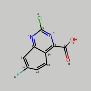 O=C(O)c1nc(Cl)nc2cc(F)ccc12